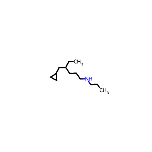 CCCNCCCC(CC)CC1CC1